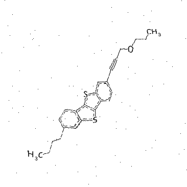 CCCCc1ccc2c(c1)sc1c3ccc(C#CCOCCC)cc3sc21